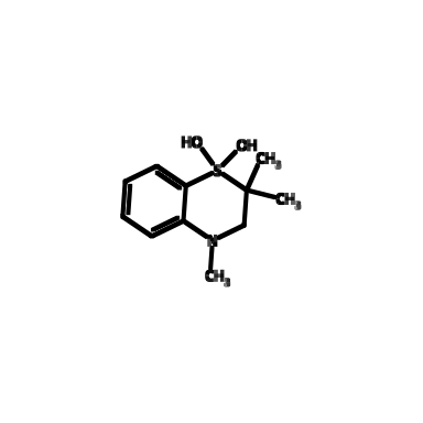 CN1CC(C)(C)S(O)(O)c2ccccc21